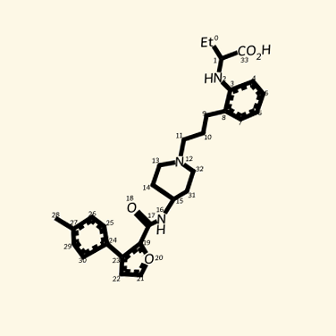 CCC(Nc1ccccc1CCCN1CCC(NC(=O)c2occc2-c2ccc(C)cc2)CC1)C(=O)O